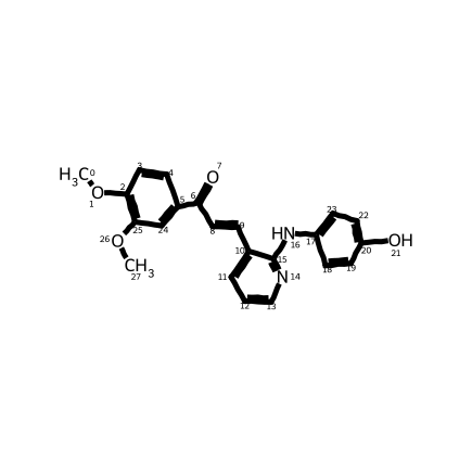 COc1ccc(C(=O)/C=C/c2cccnc2Nc2ccc(O)cc2)cc1OC